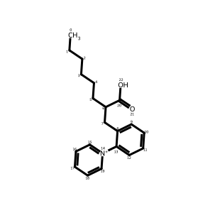 CCCCCCC(Cc1ccccc1-[n+]1ccccc1)C(=O)O